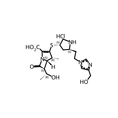 C[C@@H](O)[C@H]1C(=O)N2C(C(=O)O)=C(S[C@@H]3CN[C@@H](CCn4cnc(CO)c4)C3)[C@H](C)[C@H]12.Cl